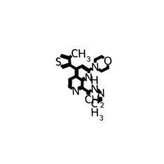 C=C(N/N=C\C)c1nccc2c(-c3cscc3C)cc(N3CCOCC3)nc12